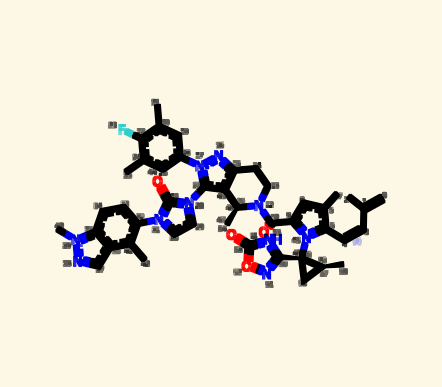 C=C(C)/C=C\c1c(C)cc(C(=O)N2CCc3nn(-c4cc(C)c(F)c(C)c4)c(-n4ccn(-c5ccc6c(cnn6C)c5C)c4=O)c3[C@@H]2C)n1[C@@]1(c2noc(=O)[nH]2)C[C@@H]1C